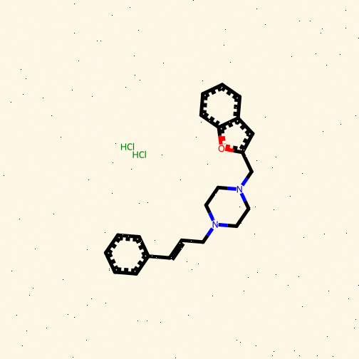 C(=Cc1ccccc1)CN1CCN(Cc2cc3ccccc3o2)CC1.Cl.Cl